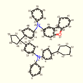 c1ccc(N(c2ccc(C3CCCCC3)cc2)c2ccc(C3(c4ccc(N(c5ccccc5)c5ccc6oc7ccccc7c6c5)cc4)CCCC3)cc2)cc1